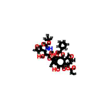 CCC(=O)O[C@H]1C[C@H]2OCC2C2[C@H](OC(=O)c3ccccc3)[C@]3(O)C[C@H](OC(=O)[C@H](O)[C@@H](NC(=O)OC(C)(C)C)c4ccoc4)C(C)=C([C@@H](O)C(=O)[C@@]21C)C3(C)C